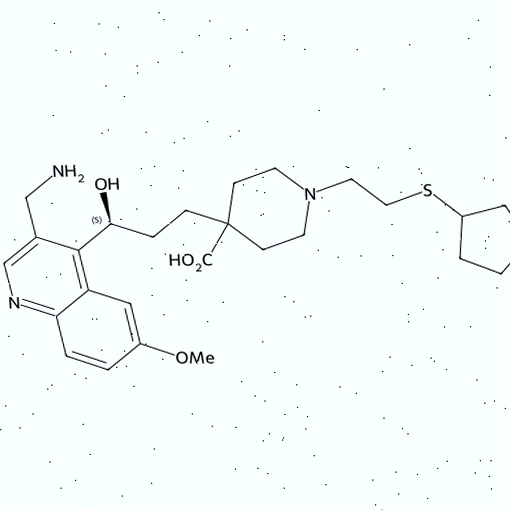 COc1ccc2ncc(CN)c([C@@H](O)CCC3(C(=O)O)CCN(CCSC4CCCC4)CC3)c2c1